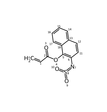 C=CC(=O)Oc1c(N=S(=O)=O)ccc2ccccc12